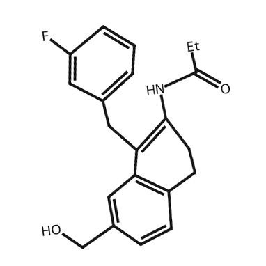 CCC(=O)NC1=C(Cc2cccc(F)c2)c2cc(CO)ccc2CC1